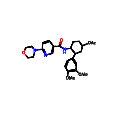 COc1ccc(C2CC(OC(C)=O)CCC2NC(=O)c2ccc(N3CCOCC3)nc2)cc1OC